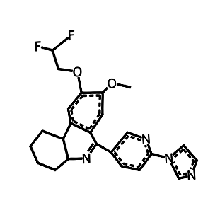 COc1cc2c(cc1OCC(F)F)C1CCCCC1N=C2c1ccc(-n2ccnc2)nc1